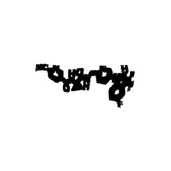 N#Cc1ccc(C(=O)NC2(C(=O)NCc3ccc(Nc4ccc(F)cc4C(F)(F)S)cn3)CC2)cn1